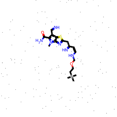 Cn1c(C(N)=O)c(C=N)c2sc(CC(=N)/C=C\NCOCC[Si](C)(C)C)nc21